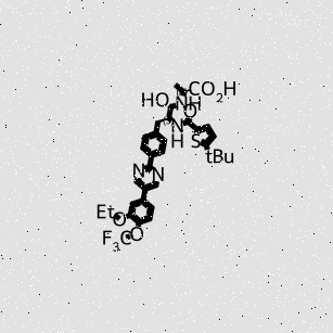 CCOc1cc(-c2cnc(-c3ccc(C[C@H](NC(=O)c4ccc(C(C)(C)C)s4)C(O)N[C@H](C)C(=O)O)cc3)nc2)ccc1OC(F)(F)F